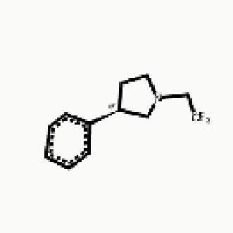 FC(F)(F)CN1CC[C@H](c2ccccc2)C1